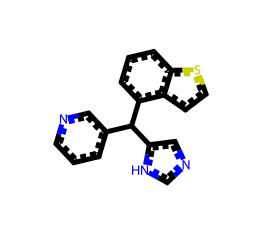 c1cncc(C(c2cnc[nH]2)c2cccc3sccc23)c1